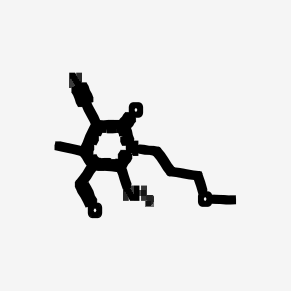 COCCCn1c(N)c(C=O)c(C)c(C#N)c1=O